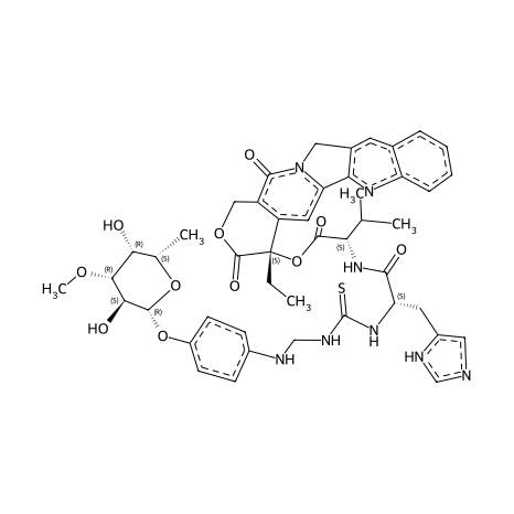 CC[C@@]1(OC(=O)[C@@H](NC(=O)[C@H](Cc2cnc[nH]2)NC(=S)NCNc2ccc(O[C@H]3O[C@@H](C)[C@@H](O)[C@@H](OC)[C@@H]3O)cc2)C(C)C)C(=O)OCc2c1cc1n(c2=O)Cc2cc3ccccc3nc2-1